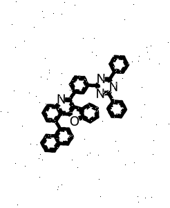 c1ccc(-c2nc(-c3ccccc3)nc(-c3cccc(-c4nc5cccc(-c6cccc7ccccc67)c5c5oc6ccccc6c45)c3)n2)cc1